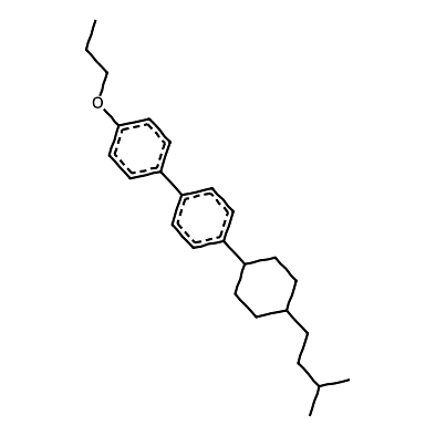 CCCOc1ccc(-c2ccc(C3CCC(CCC(C)C)CC3)cc2)cc1